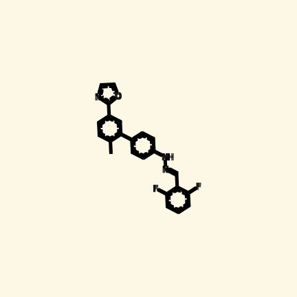 Cc1ccc(-c2ncco2)cc1-c1ccc(NN=Cc2c(F)cccc2F)cc1